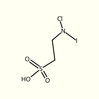 O=S(=O)(O)CCN(Cl)I